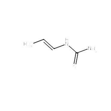 CC=CNC(N)=S